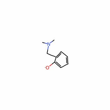 CN(C)Cc1ccccc1[O]